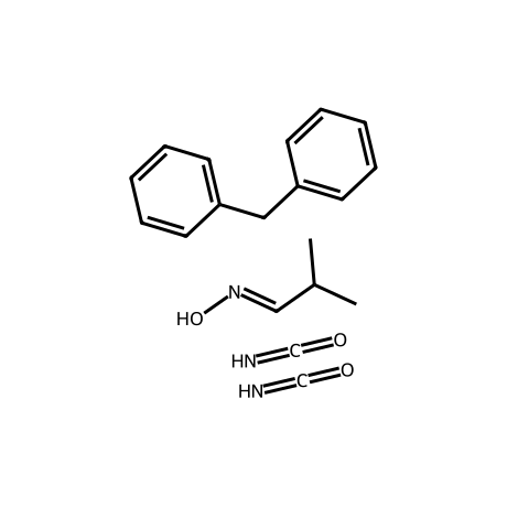 CC(C)C=NO.N=C=O.N=C=O.c1ccc(Cc2ccccc2)cc1